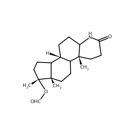 C[C@]12CCC(=O)NC1CC[C@@H]1C2CC[C@@]2(C)C1CC[C@@]2(C)OC=O